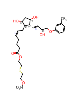 O=C(CCC/C=C\C[C@@H]1[C@@H](/C=C/[C@@H](O)COc2cccc(C(F)(F)F)c2)[C@H](O)C[C@@H]1O)OCCSCCO[N+](=O)[O-]